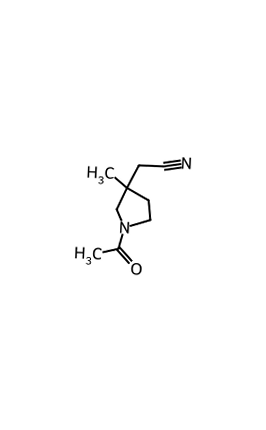 CC(=O)N1CCC(C)(CC#N)C1